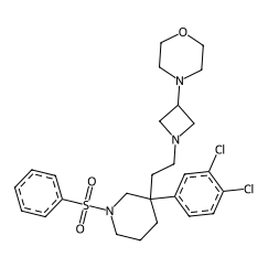 O=S(=O)(c1ccccc1)N1CCCC(CCN2CC(N3CCOCC3)C2)(c2ccc(Cl)c(Cl)c2)C1